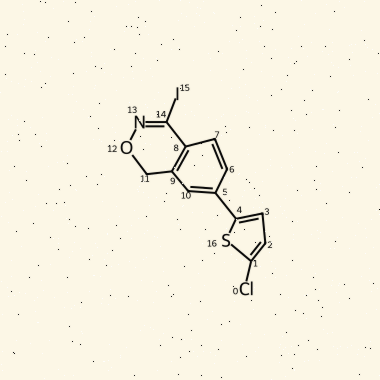 Clc1ccc(-c2ccc3c(c2)CON=C3I)s1